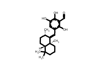 C[C@H]1CC[C@H]2C(C)(C)CCC[C@]2(C)/C1=C/c1cc(O)c(O)c(C=O)c1O